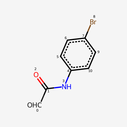 O=CC(=O)Nc1ccc(Br)cc1